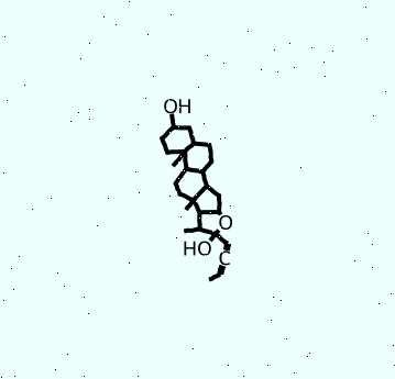 CC=C=CC1(O)OC2CC3C4CCC5CC(O)CCC5(C)C4CCC3(C)C2C1C